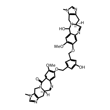 COc1cc2c(cc1OCc1cc(O)cc(COc3cc4c(cc3OC)C(O)N3Cc5c(ncn5C)C[C@H]3C=N4)c1)N=C[C@@H]1Cc3ncn(C)c3CN1C2=O